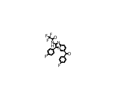 O=C(c1ccc(F)cc1)c1ccc2nc(NC(=O)C(F)(F)F)c(-c3ccc(F)cc3)n2c1